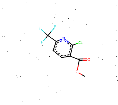 COC(=O)c1ccc(C(F)(F)F)nc1Cl